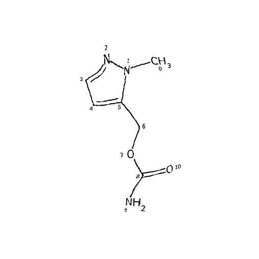 Cn1nccc1COC(N)=O